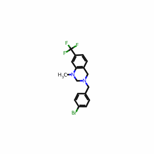 CN1CN(Cc2ccc(Br)cc2)Cc2ccc(C(F)(F)F)cc21